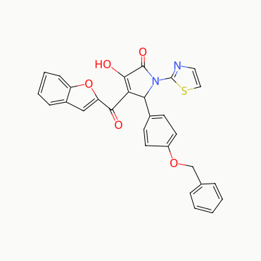 O=C(C1=C(O)C(=O)N(c2nccs2)C1c1ccc(OCc2ccccc2)cc1)c1cc2ccccc2o1